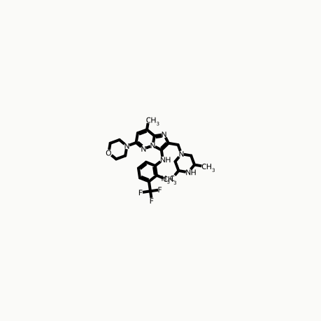 Cc1c(Nc2c(CN3CC(C)NC(C)C3)nc3c(C)cc(N4CCOCC4)nn23)cccc1C(F)(F)F